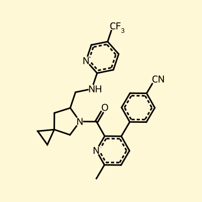 Cc1ccc(-c2ccc(C#N)cc2)c(C(=O)N2CC3(CC3)CC2CNc2ccc(C(F)(F)F)cn2)n1